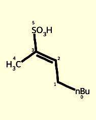 CCCCCC=C(C)S(=O)(=O)O